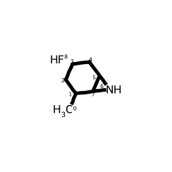 CC1CCCC2NC12.F